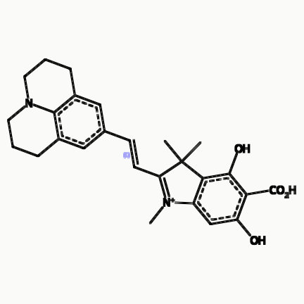 C[N+]1=C(/C=C/c2cc3c4c(c2)CCCN4CCC3)C(C)(C)c2c1cc(O)c(C(=O)O)c2O